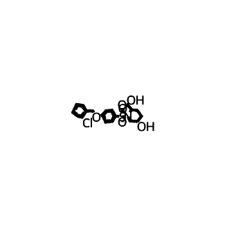 O=C(O)C1CCC(O)CN1S(=O)(=O)c1ccc(OCc2ccccc2Cl)cc1